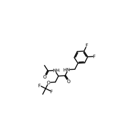 CC(=O)NC(COC(C)(F)F)C(=O)NCc1ccc(F)c(F)c1